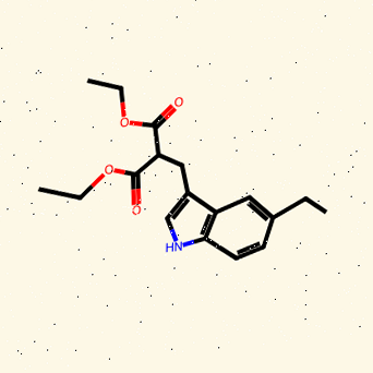 CCOC(=O)C(Cc1c[nH]c2ccc(CC)cc12)C(=O)OCC